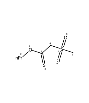 CCCOC(=S)CS(C)(=O)=O